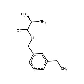 CCc1cccc(CNC(=O)[C@@H](C)N)c1